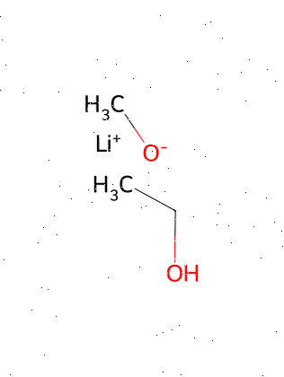 CCO.C[O-].[Li+]